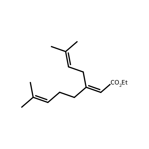 CCOC(=O)/C=C(\CC=C(C)C)CCC=C(C)C